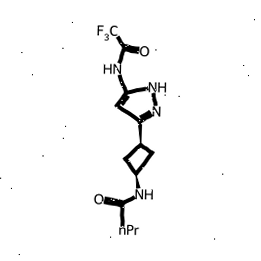 CCCC(=O)N[C@H]1C[C@@H](c2cc(NC(=O)C(F)(F)F)[nH]n2)C1